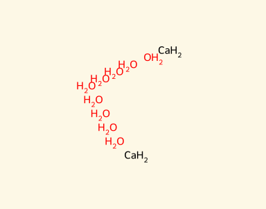 O.O.O.O.O.O.O.O.O.[CaH2].[CaH2]